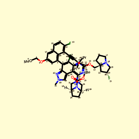 COCOc1cc(-c2c(F)c3nc(OC[C@@]45CCCN4C[C@H](F)C5)nc(N4C[C@H]5CC[C@@H](C4)N5C(=O)OC(C)(C)C)c3c3cn(C)nc23)c2c(C#C[Si](C(C)C)(C(C)C)C(C)C)c(F)ccc2c1